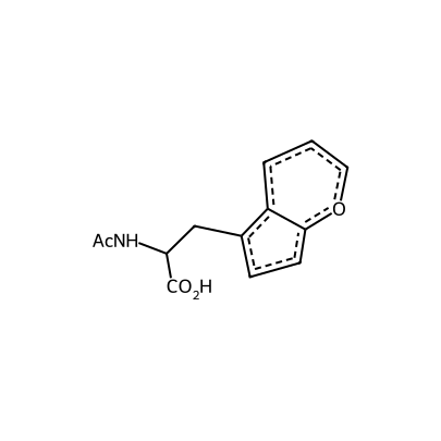 CC(=O)NC(Cc1ccc2occcc1-2)C(=O)O